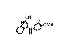 COc1ccc(Nc2cc(C#N)nc3ccccc23)cc1C